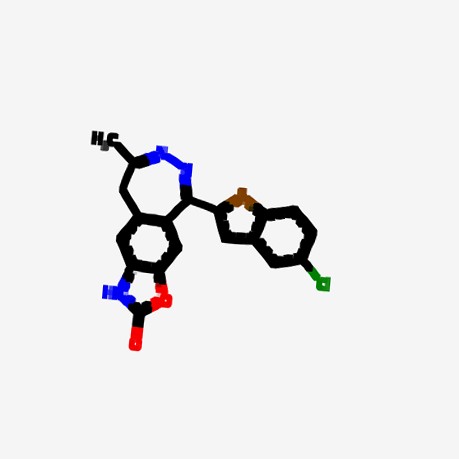 CC1=NN=C(c2cc3cc(Cl)ccc3s2)c2cc3oc(=O)[nH]c3cc2C1